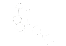 N#Cc1cscc1-c1ccc2ncnc(N[C@H]3CC[C@H](N4CCOCC4)CC3)c2c1